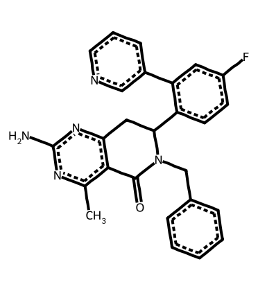 Cc1nc(N)nc2c1C(=O)N(Cc1ccccc1)C(c1ccc(F)cc1-c1cccnc1)C2